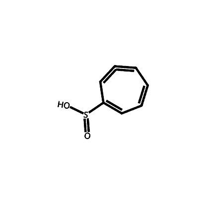 O=S(O)C1=CC=CC=C=C1